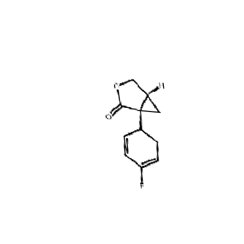 O=C1OC[C@@H]2C[C@]12C1C=CC(F)=CC1